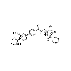 C[C@H]1CN(c2ccc(C(=O)NC[C@H](NS(=O)(=O)c3ccccc3)C(=O)O)cc2)CCN1C1=NCCCN1